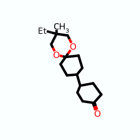 CCC1(C)COC2(CCC(C3CCC(=O)CC3)CC2)OC1